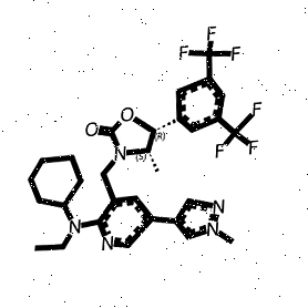 CCN(c1ncc(-c2cnn(C)c2)cc1CN1C(=O)O[C@H](c2cc(C(F)(F)F)cc(C(F)(F)F)c2)[C@@H]1C)C1CCCCC1